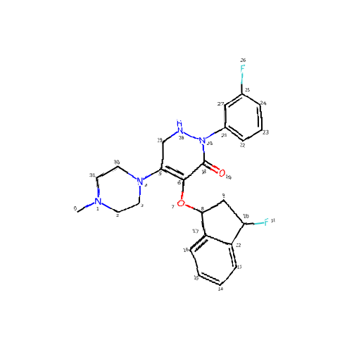 CN1CCN(C2=C(OC3CC(F)c4ccccc43)C(=O)N(c3cccc(F)c3)NC2)CC1